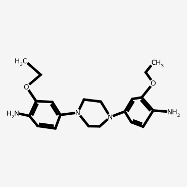 CCOc1cc(N2CCN(c3ccc(N)c(OCC)c3)CC2)ccc1N